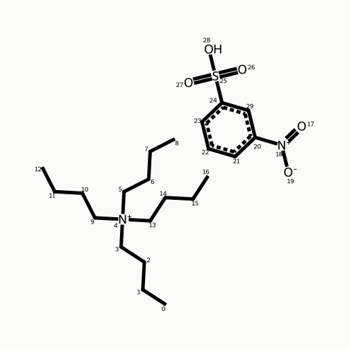 CCCC[N+](CCCC)(CCCC)CCCC.O=[N+]([O-])c1cccc(S(=O)(=O)O)c1